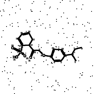 CCC(C)c1ccc(OCC(=O)C2CC=CC=C2S(=O)(=O)O)cc1